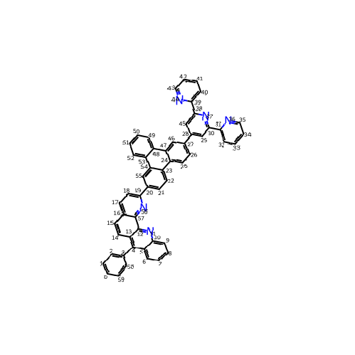 c1ccc(-c2c3ccccc3nc3c2ccc2ccc(-c4ccc5c6ccc(-c7cc(-c8ccccn8)nc(-c8ccccn8)c7)cc6c6ccccc6c5c4)nc23)cc1